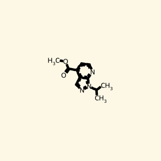 COC(=O)c1ccnc2c1cnn2C(C)C